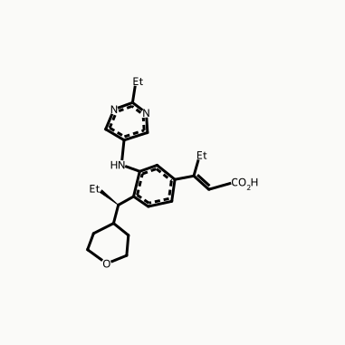 CC/C(=C\C(=O)O)c1ccc([C@H](CC)C2CCOCC2)c(Nc2cnc(CC)nc2)c1